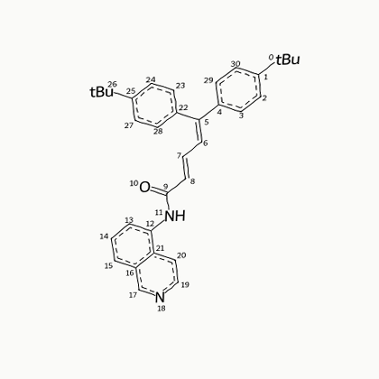 CC(C)(C)c1ccc(C(=CC=CC(=O)Nc2cccc3cnccc23)c2ccc(C(C)(C)C)cc2)cc1